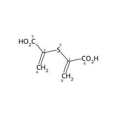 C=C(SC(=C)C(=O)O)C(=O)O